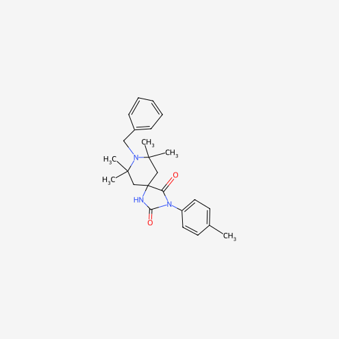 Cc1ccc(N2C(=O)NC3(CC(C)(C)N(Cc4ccccc4)C(C)(C)C3)C2=O)cc1